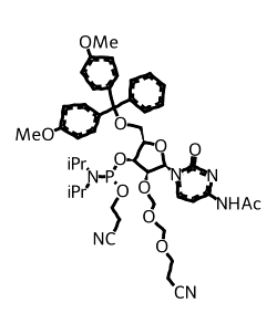 COc1ccc(C(OC[C@H]2O[C@@H](n3ccc(NC(C)=O)nc3=O)[C@@H](OCOCOCCC#N)[C@H]2OP(OCCC#N)N(C(C)C)C(C)C)(c2ccccc2)c2ccc(OC)cc2)cc1